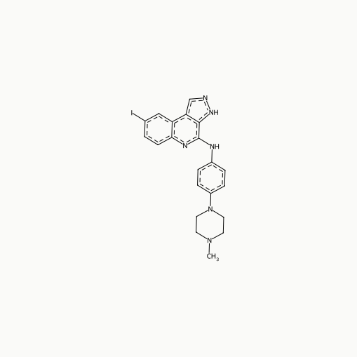 CN1CCN(c2ccc(Nc3nc4ccc(I)cc4c4cn[nH]c34)cc2)CC1